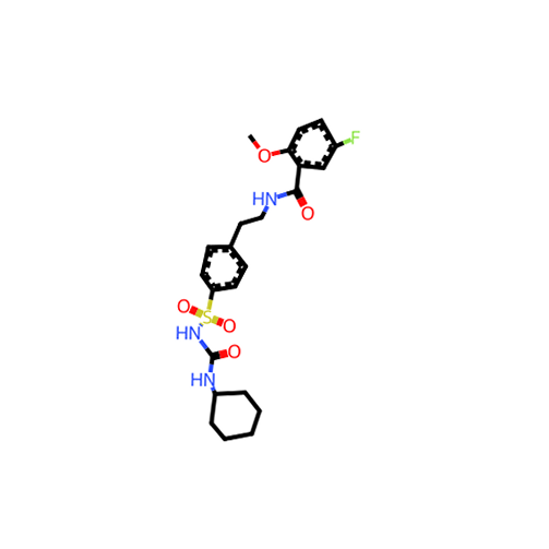 COc1ccc(F)cc1C(=O)NCCc1ccc(S(=O)(=O)NC(=O)NC2CCCCC2)cc1